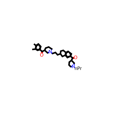 CCCN1CCCC(C(=O)c2ccc3c(c2)CC(CCCN2CCCC(C(=O)c4ccc(C)c(C)c4)C2)CC3)C1